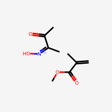 C=C(C)C(=O)OC.CC(=O)/C(C)=N\O